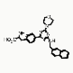 NC(Cc1ccc(-c2nc(NCc3ccc4ccccc4c3)nc(N3CCOCC3)n2)cc1)C(=O)O